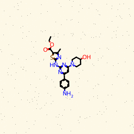 CCOC(=O)c1sc(Nc2nc(-c3ccc(N)cc3)cc(N3CCC(O)CC3)n2)nc1C